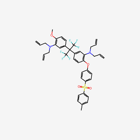 C=CCN(CC=C)c1cc(C(c2ccc(Oc3ccc(S(=O)(=O)c4ccc(C)cc4)cc3)c(N(CC=C)CC=C)c2)(C(F)(F)F)C(F)(F)F)ccc1OC